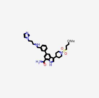 COCCCS(=O)(=O)N1CCC(c2c[nH]c3c(C(N)=O)cc(-c4cccc(CNCCCn5ccnc5)c4)cc23)CC1